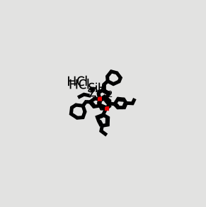 CC[CH2][Zr]([CH3])(=[SiH2])([CH]1C(CC2CCCCCC2)=Cc2c(-c3ccc(CC)cc3)cccc21)[CH]1C(CC2CCCCCC2)=Cc2c(-c3ccc(CC)cc3)cccc21.Cl.Cl